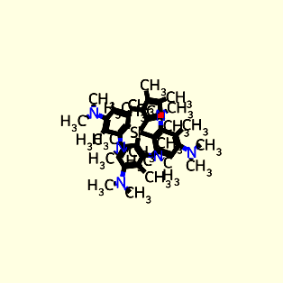 CC1=C(C)C(C)C([Si](c2c(C)cc(N(C)C)c(C)c2N(C)C)(c2c(C)cc(N(C)C)c(C)c2N(C)C)c2c(C)cc(N(C)C)c(C)c2N(C)C)=C1C